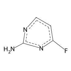 Nc1nccc(F)n1